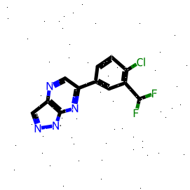 FC(F)c1cc(-c2cnc3c(n2)[N]N=C3)ccc1Cl